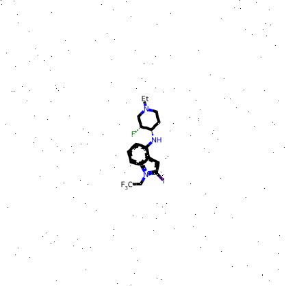 CCN1CC[C@H](Nc2cccc3c2cc(I)n3CC(F)(F)F)[C@H](F)C1